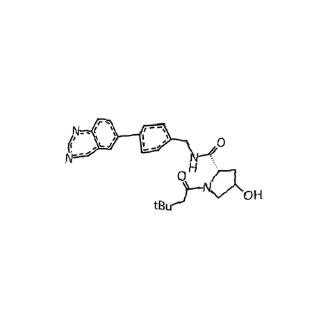 CC(C)(C)CC(=O)N1CC(O)C[C@H]1C(=O)NCc1ccc(-c2ccc3ncncc3c2)cc1